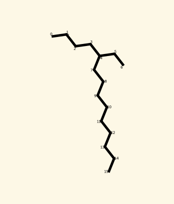 C[CH]CCC(CC)CCCCCCCCC